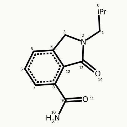 CC(C)CN1Cc2cccc(C(N)=O)c2C1=O